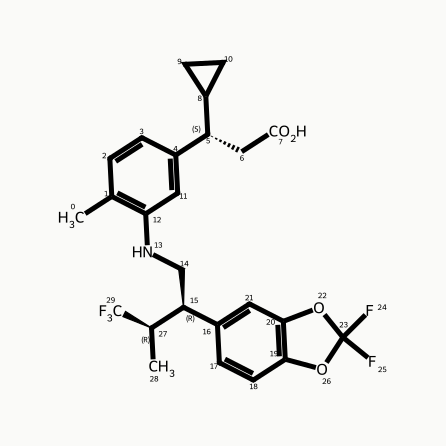 Cc1ccc([C@@H](CC(=O)O)C2CC2)cc1NC[C@@H](c1ccc2c(c1)OC(F)(F)O2)[C@@H](C)C(F)(F)F